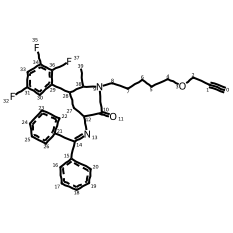 C#CCOCCCCCN1C(=O)C(N=C(c2ccccc2)c2ccccc2)CC(c2cc(F)cc(F)c2F)C1C